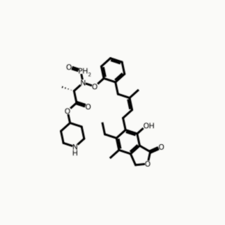 CCc1c(C)c2c(c(O)c1CC=C(C)Cc1ccccc1ON([PH2]=O)[C@@H](C)C(=O)OC1CCNCC1)C(=O)OC2